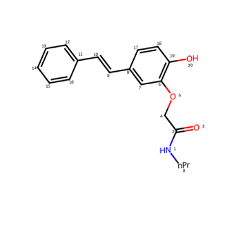 CCCNC(=O)COc1cc(/C=C/c2ccccc2)ccc1O